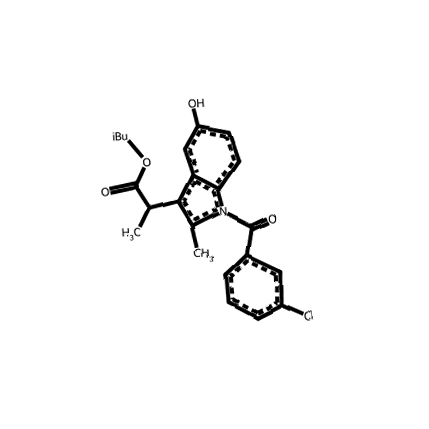 CCC(C)OC(=O)C(C)c1c(C)n(C(=O)c2cccc(Cl)c2)c2ccc(O)cc12